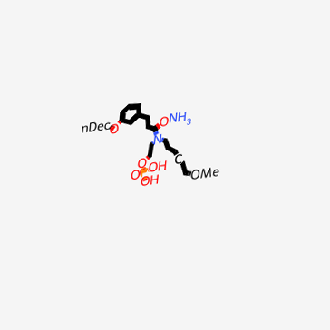 CCCCCCCCCCOc1cccc(CCC(=O)N(CCCCCCOC)CCOP(=O)(O)O)c1.N